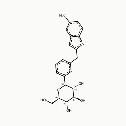 Cc1ccc2sc(Cc3cccc([C@@H]4O[C@H](CO)[C@@H](O)[C@H](O)[C@H]4O)c3)cc2c1